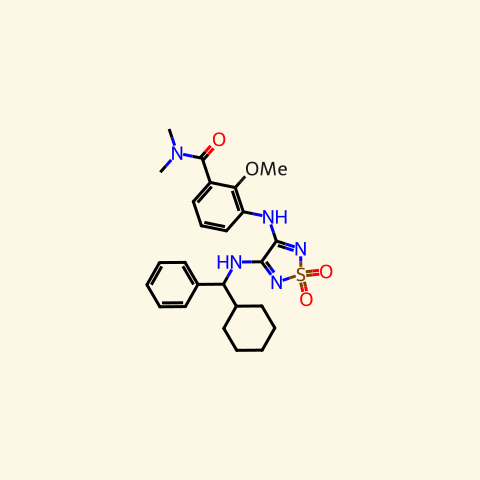 COc1c(NC2=NS(=O)(=O)N=C2NC(c2ccccc2)C2CCCCC2)cccc1C(=O)N(C)C